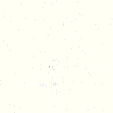 CCOP(OC)OCCOCCNC(=O)C(C)(C)CC(C)(C)C1SCC2NC(=O)NC21